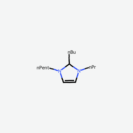 CCCCCN1C=CN(CCC)C1CCCC